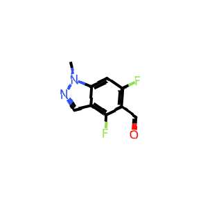 Cn1ncc2c(F)c(C=O)c(F)cc21